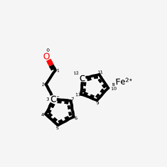 O=CC[c-]1cccc1.[Fe+2].c1cc[cH-]c1